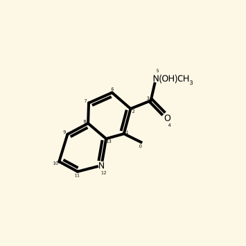 Cc1c(C(=O)N(C)O)ccc2cccnc12